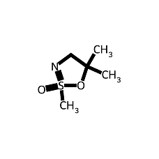 CC1(C)CN=S(C)(=O)O1